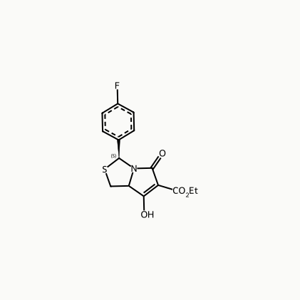 CCOC(=O)C1=C(O)C2CS[C@@H](c3ccc(F)cc3)N2C1=O